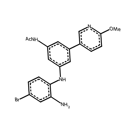 COc1ccc(-c2cc(NC(C)=O)cc(Nc3ccc(Br)cc3N)c2)cn1